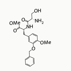 COC(=O)[C@H](Cc1ccc(OC)c(OCc2ccccc2)c1)NC(=O)[C@@H](N)CO